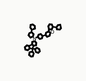 c1ccc(-c2cccc(N(c3ccc(-c4ccc5oc6c(-c7ccccc7)cccc6c5c4)cc3)c3ccc4c(c3)-c3ccccc3C4(c3ccccc3)c3ccccc3)c2)cc1